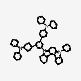 c1ccc(N(c2ccccc2)c2ccc(-c3cc(-c4ccc(N(c5ccccc5)c5ccccc5)cc4)cc(-n4c5ccccc5c5c6c7ccccc7n(-c7ccccc7)c6ccc54)c3)cc2)cc1